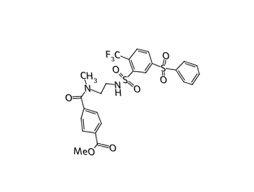 COC(=O)c1ccc(C(=O)N(C)CCNS(=O)(=O)c2cc(S(=O)(=O)c3ccccc3)ccc2C(F)(F)F)cc1